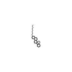 CCCCCCCCc1ccc2c(ccc3c2ccc2c4ccccc4oc23)c1